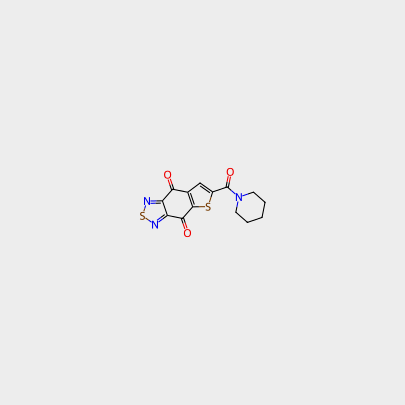 O=C1c2cc(C(=O)N3CCCCC3)sc2C(=O)c2nsnc21